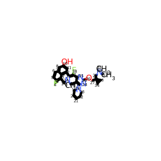 C#Cc1c(F)ccc2cc(O)cc(-c3ncc4c(N5CC=CCC5)nc(OCC5(CN(C)C)CC5)nc4c3F)c12